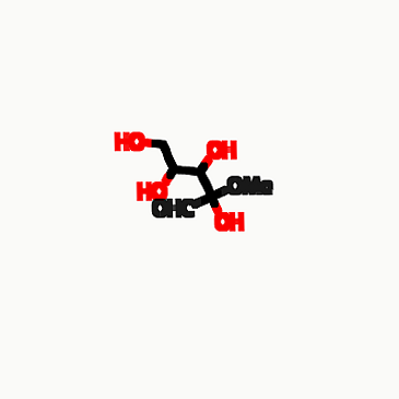 COC(O)(C=O)C(O)C(O)CO